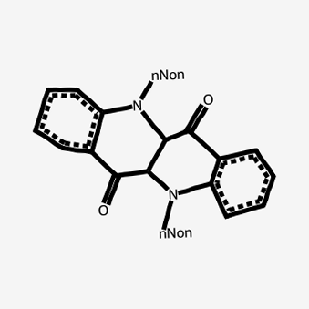 CCCCCCCCCN1c2ccccc2C(=O)C2C1C(=O)c1ccccc1N2CCCCCCCCC